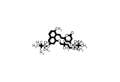 CCCC(C)(C)COC1CC(O[Si](C)(C)C(C)(C)C)C=C2C=CC(C)C(CCC3CC(O[Si](C)(C)C(C)(C)C)CC(=O)O3)C21